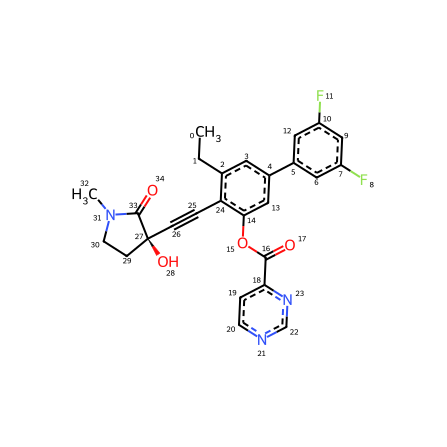 CCc1cc(-c2cc(F)cc(F)c2)cc(OC(=O)c2ccncn2)c1C#C[C@]1(O)CCN(C)C1=O